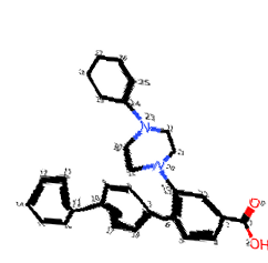 O=C(O)c1ccc(-c2ccc(-c3ccccc3)cc2)c(N2CCN(C3CCCCC3)CC2)c1